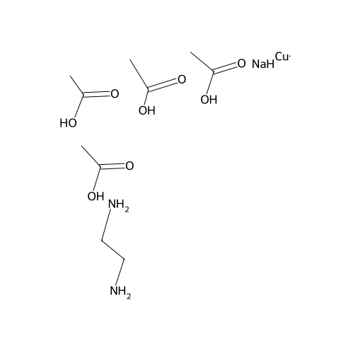 CC(=O)O.CC(=O)O.CC(=O)O.CC(=O)O.NCCN.[Cu].[NaH]